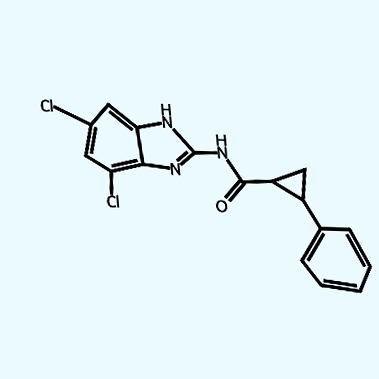 O=C(Nc1nc2c(Cl)cc(Cl)cc2[nH]1)C1CC1c1ccccc1